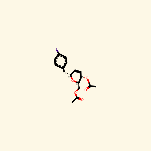 CC(=O)OC[C@H]1O[C@H](Cc2ccc(I)cc2)C=C[C@@H]1OC(C)=O